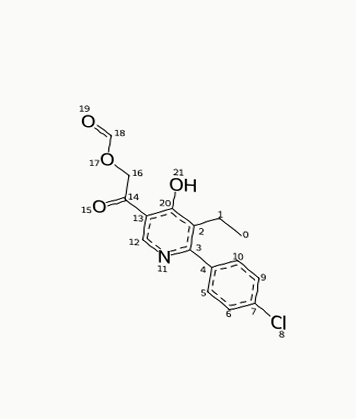 CCc1c(-c2ccc(Cl)cc2)ncc(C(=O)COC=O)c1O